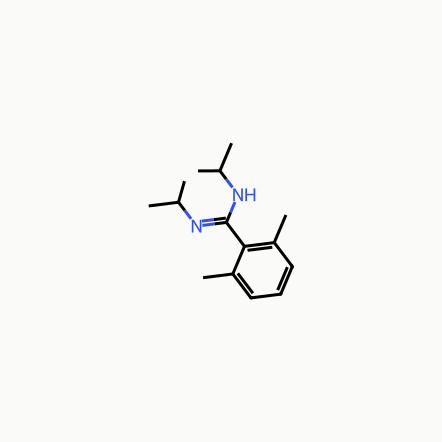 Cc1cccc(C)c1C(=NC(C)C)NC(C)C